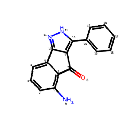 Nc1cccc2c1C(=O)c1c-2n[nH]c1-c1ccccc1